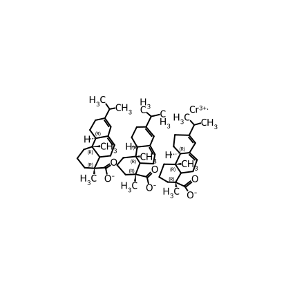 CC(C)C1=CC2=CCC3[C@](C)(C(=O)[O-])CCC[C@]3(C)[C@H]2CC1.CC(C)C1=CC2=CCC3[C@](C)(C(=O)[O-])CCC[C@]3(C)[C@H]2CC1.CC(C)C1=CC2=CCC3[C@](C)(C(=O)[O-])CCC[C@]3(C)[C@H]2CC1.[Cr+3]